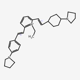 CC[n+]1c(/C=C/c2ccc(N3CCCC3)cc2)cccc1/C=C/C1CCC(N2CCCC2)CC1